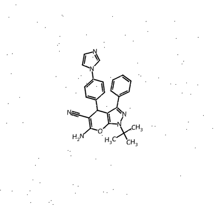 CC(C)(C)n1nc(-c2ccccc2)c2c1OC(N)=C(C#N)C2c1ccc(-n2ccnc2)cc1